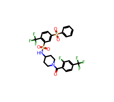 O=C(c1ccc(C(F)(F)F)cc1F)N1CCC(NS(=O)(=O)c2cc(S(=O)(=O)c3ccccc3)ccc2C(F)(F)F)CC1